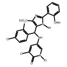 CCOC(=O)c1nc(-c2ccccc2OC)n(C(C)C)c1C(Nc1cc(Cl)c(=O)n(CC)c1)c1ccc(Cl)cc1C